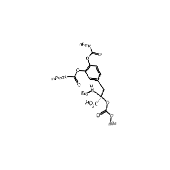 CCCCCC(=O)Oc1ccc(C[C@](NC(C)CC)(OC(=O)OCCCC)C(=O)O)cc1OC(=O)CCCCC